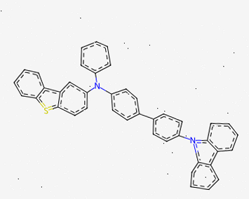 c1ccc(N(c2ccc(-c3ccc(-n4c5ccccc5c5ccccc54)cc3)cc2)c2ccc3sc4ccccc4c3c2)cc1